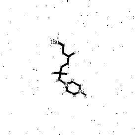 CC(CCC(C)(C)C)CCC(C)(C)CN1CCN(C)CC1